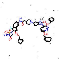 CC(C)n1c(=O)n(-c2ccc(OCc3ccccc3)nc2OCc2ccccc2)c2ccc(N3CCC(CC(=O)Nc4ccc5c(F)c(N6CC(=O)NS6(=O)=O)c(OCc6ccccc6)cc5c4)CC3)cc21